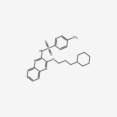 Cc1ccc(S(=O)(=O)Nc2nc3ccccc3nc2OCCCN2CCCCC2)cc1